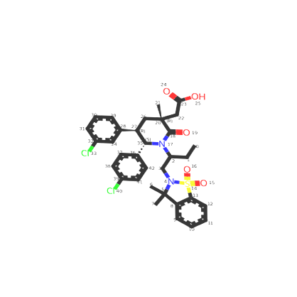 CCC(CN1C(C)(C)c2ccccc2S1(=O)=O)N1C(=O)[C@@](C)(CC(=O)O)C[C@H](c2cccc(Cl)c2)[C@H]1c1ccc(Cl)cc1